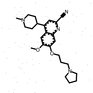 COc1cc2c(C3CCN(C)CC3)cc(C#N)nc2cc1OCCCN1CCCC1